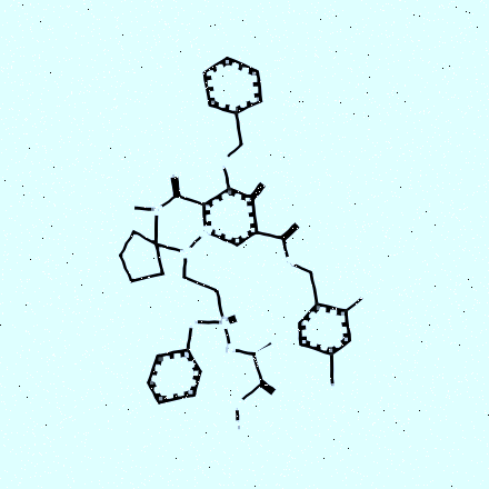 CCN1C(=O)c2c(OCc3ccccc3)c(=O)c(C(=O)NCc3ccc(F)cc3F)cn2N(CCP(=O)(N[C@@H](C)C(=O)OC(C)C)Oc2ccccc2)C12CCCC2